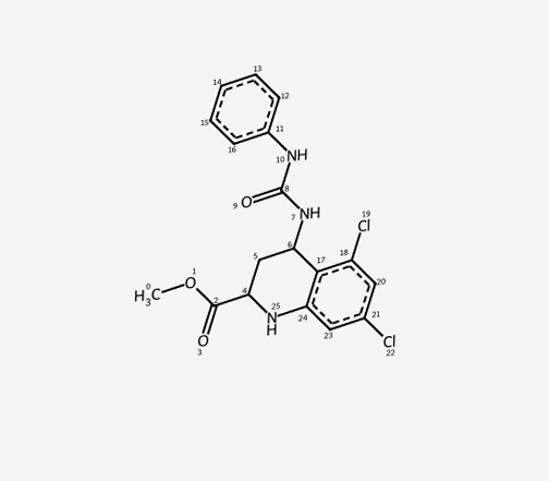 COC(=O)C1CC(NC(=O)Nc2ccccc2)c2c(Cl)cc(Cl)cc2N1